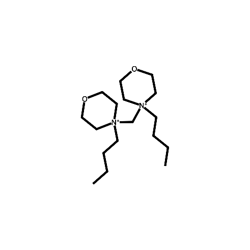 CCCC[N+]1(C[N+]2(CCCC)CCOCC2)CCOCC1